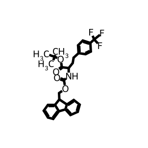 CC(C)(C)OC(=O)C(CCc1ccc(C(F)(F)F)cc1)NC(=O)OCC1c2ccccc2-c2ccccc21